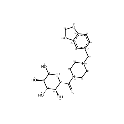 O=C([C@H]1OC(O)[C@H](O)[C@@H](O)[C@@H]1O)N1CCN(Cc2ccc3c(c2)OCO3)CC1